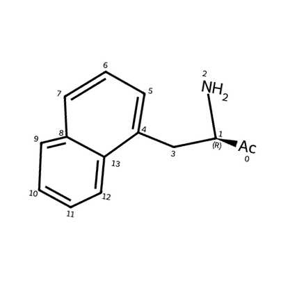 CC(=O)[C@H](N)Cc1cccc2ccccc12